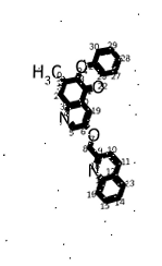 CC1Cc2ncc(OCc3ccc4ccccc4n3)cc2C(=O)C1Oc1ccccc1